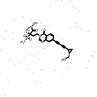 CC(CCn1cnc2cc(C#CC#CC3C[C@H]3CO)ccc2c1=O)(C(=O)NO)S(C)(=O)=O